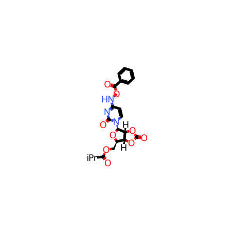 CC(C)C(=O)OC[C@H]1O[C@@H](n2ccc(NOC(=O)c3ccccc3)nc2=O)[C@@H]2OC(=O)O[C@@H]21